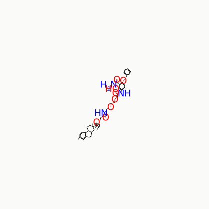 Cc1ccc2c(c1)CCC1C2CCC2(C)C1CC[C@H]2OCCC(=O)NCCOCCOCC(=O)Nc1ccc(OCc2ccccc2)c(C(N)=O)c1O